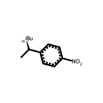 CC[C@H](C)C(C)c1ccc([N+](=O)[O-])cc1